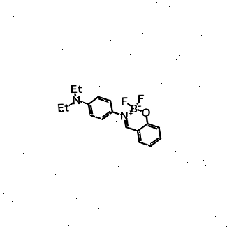 CCN(CC)c1ccc([N+]2=Cc3ccccc3O[B-]2(F)F)cc1